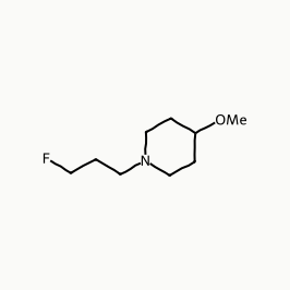 COC1CCN(CCCF)CC1